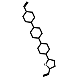 C=CC1CCC(C2CCC(C3CCC(C4CCC(C=C)O4)CC3)CC2)CC1